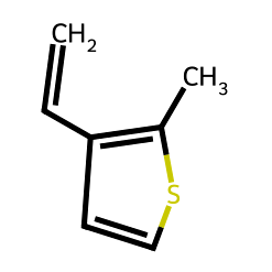 C=Cc1ccsc1C